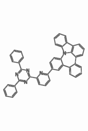 c1ccc(-c2nc(-c3ccccc3)nc(-c3cccc(-c4ccc5c(c4)-c4ccccc4-c4cccc6c7ccccc7n-5c46)n3)n2)cc1